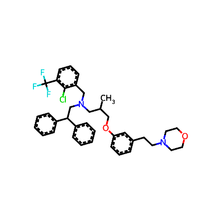 CC(COc1cccc(CCN2CCOCC2)c1)CN(Cc1cccc(C(F)(F)F)c1Cl)CC(c1ccccc1)c1ccccc1